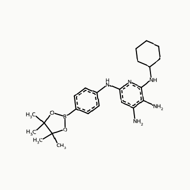 CC1(C)OB(c2ccc(Nc3cc(N)c(N)c(NC4CCCCC4)n3)cc2)OC1(C)C